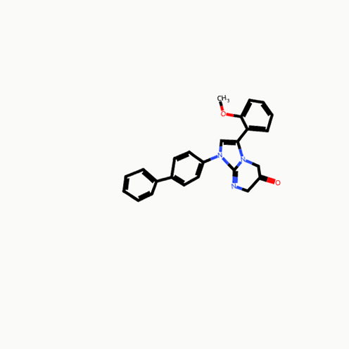 COc1ccccc1C1=CN(c2ccc(-c3ccccc3)cc2)C2=NCC(=O)CN12